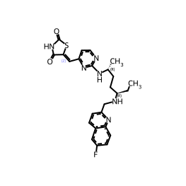 CC[C@H](CC[C@@H](C)Nc1nccc(/C=C2\SC(=O)NC2=O)n1)NCc1ccc2cc(F)ccc2n1